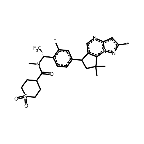 CN(C(=O)C1CCS(=O)(=O)CC1)[C@@H](c1ccc(C2CC(C)(C)c3c2cnc2cc(F)nn32)cc1F)C(F)(F)F